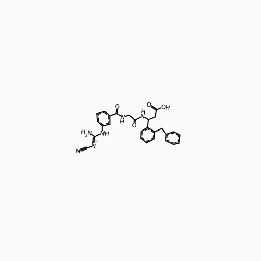 N#C/N=C(\N)Nc1cccc(C(=O)NCC(=O)NC(CC(=O)O)c2ccccc2Cc2ccccc2)c1